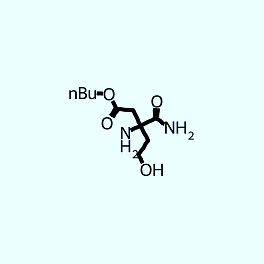 CCCCOC(=O)CC(N)(CCO)C(N)=O